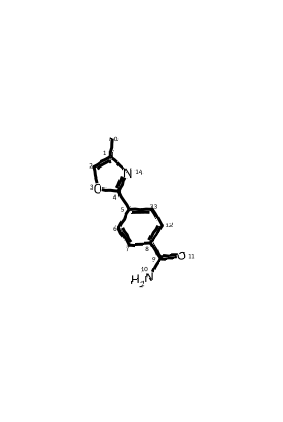 Cc1coc(-c2ccc(C(N)=O)cc2)n1